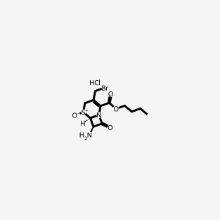 CCCCOC(=O)C1=C(CBr)C[S+]([O-])[C@@H]2[C@H](N)C(=O)N12.Cl